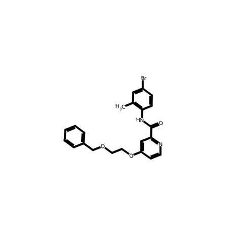 Cc1cc(Br)ccc1NC(=O)c1cc(OCCOCc2ccccc2)ccn1